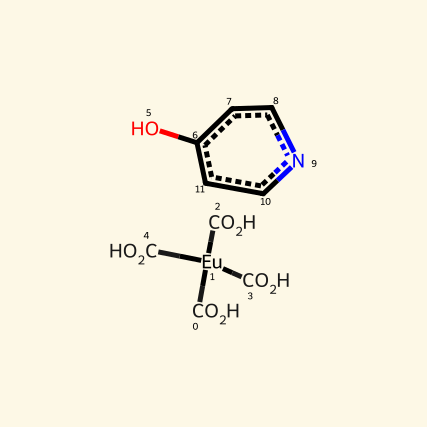 O=[C](O)[Eu]([C](=O)O)([C](=O)O)[C](=O)O.Oc1ccncc1